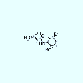 C/C(O)=C/C(=O)Nc1cc(Br)ccc1Br